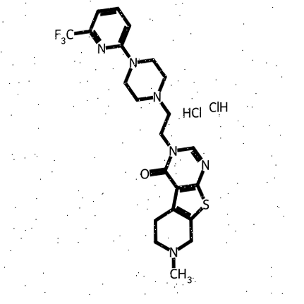 CN1CCc2c(sc3ncn(CCN4CCN(c5cccc(C(F)(F)F)n5)CC4)c(=O)c23)C1.Cl.Cl